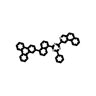 c1ccc(-c2nc(-c3cc4c(ccc5ccccc54)cn3)nc(-c3cccc4c(-c5ccc6c7ccccc7c7ccccc7c6c5)cccc34)n2)cc1